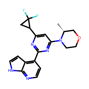 C[C@@H]1COCCN1c1cc(C2CC2(F)F)nc(-c2ccnc3[nH]ccc23)n1